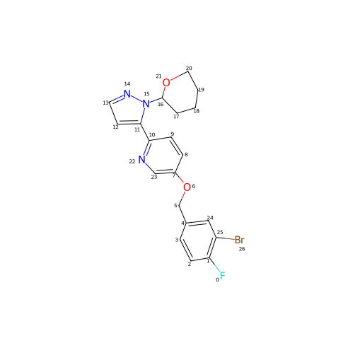 Fc1ccc(COc2ccc(-c3ccnn3C3CCCCO3)nc2)cc1Br